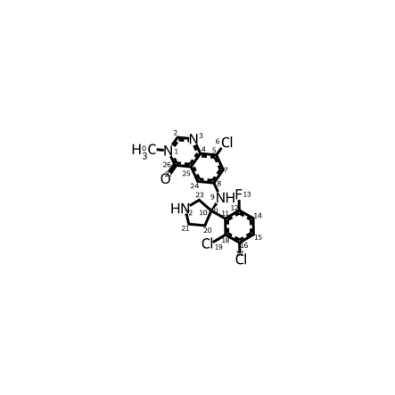 Cn1cnc2c(Cl)cc(N[C@@]3(c4c(F)ccc(Cl)c4Cl)CCNC3)cc2c1=O